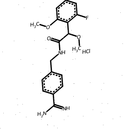 COc1cccc(F)c1C(OC)C(=O)NCc1ccc(C(=N)N)cc1.Cl